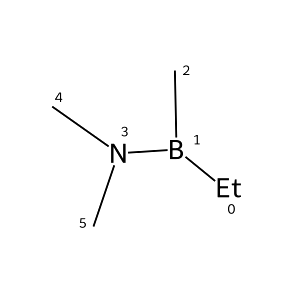 CCB(C)N(C)C